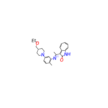 CCOCC1CCN(c2ccc(C)c(/N=C(\C)c3c4cccccc-4[nH]c3=O)c2)CC1